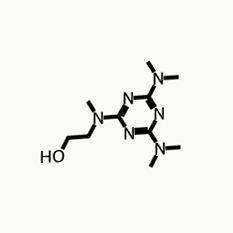 CN(C)c1nc(N(C)C)nc(N(C)CCO)n1